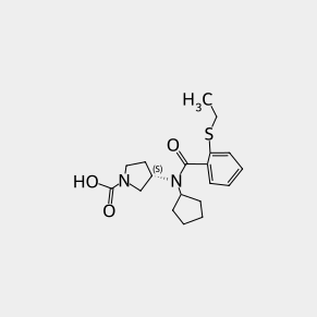 CCSc1ccccc1C(=O)N(C1CCCC1)[C@H]1CCN(C(=O)O)C1